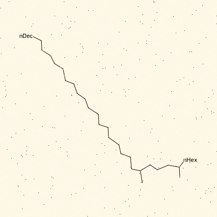 CCCCCCCCCCCCCCCCCCCCCCCCCCCCC(C)CCCC(C)CCCCCC